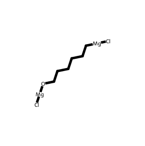 [Cl][Mg][CH2]CCCCC[O][Mg][Cl]